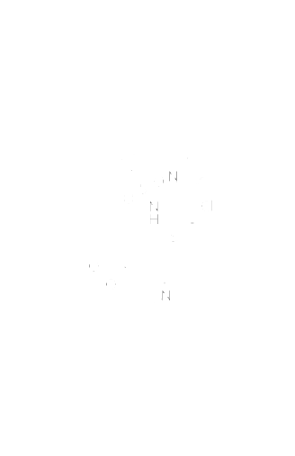 CC1(C)OCC(C)(c2ccnc(-c3cccc4cc(C(NS(=O)(=O)C5CC5)c5ncccc5Cl)sc34)c2)O1